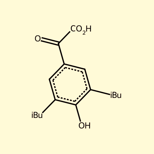 CCC(C)c1cc(C(=O)C(=O)O)cc(C(C)CC)c1O